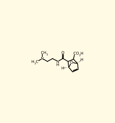 CN(C)CCNC(=O)C1C(C(=O)O)[C@H]2C=C[C@@H]1O2